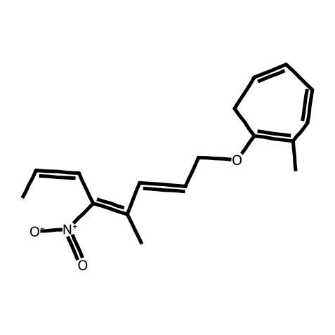 C\C=C/C(=C(C)\C=C\COC1=C(C)C=CC=CC1)[N+](=O)[O-]